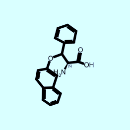 N[C@H](C(=O)O)C(Oc1ccc2ccccc2c1)c1ccccc1